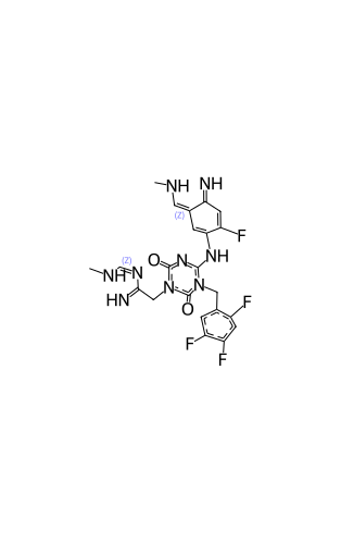 CN/C=N\C(=N)Cn1c(=O)nc(NC2=C/C(=C/NC)C(=N)C=C2F)n(Cc2cc(F)c(F)cc2F)c1=O